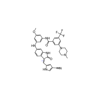 COc1cc(NC(=O)c2cc(N3CCN(C)CC3)cc(C(F)(F)F)c2)cc(Nc2ccc3c(c2)NC(=O)/C3=C\c2cc(C#N)c[nH]2)c1